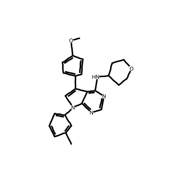 COc1ccc(-c2cn(-c3cccc(C)c3)c3ncnc(NC4CCOCC4)c23)cc1